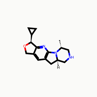 C[C@@H]1CNC[C@H]2Cc3cc4c(nc3N21)[C@H](C1CC1)OC4